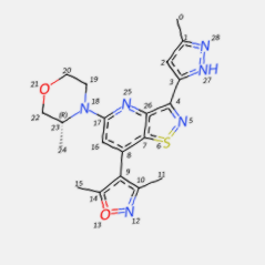 Cc1cc(-c2nsc3c(-c4c(C)noc4C)cc(N4CCOC[C@H]4C)nc23)[nH]n1